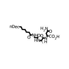 CCCCCCCCCCCCCCCC(=O)NCC(=O)N[C@@H](C)C(=O)N[C@@H](CC(N)=O)C(=O)O